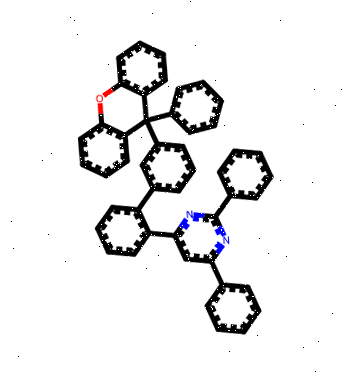 c1ccc(-c2cc(-c3ccccc3-c3cccc(C4(c5ccccc5)c5ccccc5Oc5ccccc54)c3)nc(-c3ccccc3)n2)cc1